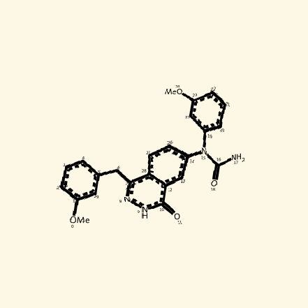 COc1cccc(Cc2n[nH]c(=O)c3cc(N(C(N)=O)c4cccc(OC)c4)ccc23)c1